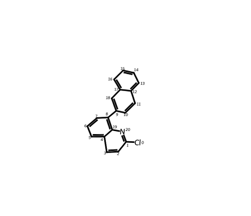 Clc1ccc2cccc(-c3ccc4ccccc4c3)c2n1